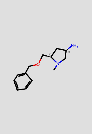 CN1C[C@H](N)C[C@@H]1COCc1ccccc1